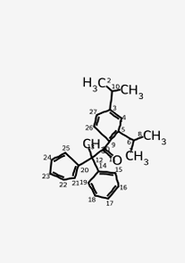 CC(C)c1[c]c(C(C)C)c(C(=O)C(C)(c2ccccc2)c2ccccc2)cc1